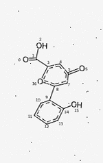 O=C(O)c1cc(=O)cc(-c2ccccc2O)o1